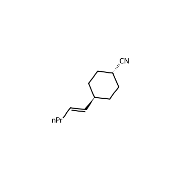 CCCC=C[C@H]1CC[C@H](C#N)CC1